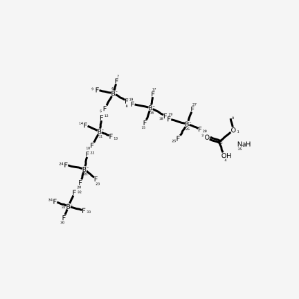 COC(=O)O.F[B-](F)(F)F.F[B-](F)(F)F.F[B-](F)(F)F.F[B-](F)(F)F.F[B-](F)(F)F.F[B-](F)(F)F.[NaH]